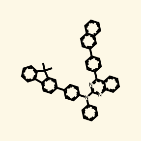 CC1(C)c2ccccc2-c2ccc(-c3ccc(N(c4ccccc4)c4nc(-c5ccc(-c6ccc7ccccc7c6)cc5)c5ccccc5n4)cc3)cc21